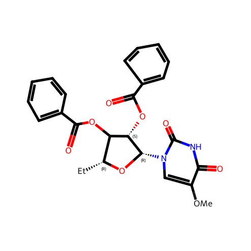 CC[C@H]1O[C@@H](n2cc(OC)c(=O)[nH]c2=O)[C@@H](OC(=O)c2ccccc2)C1OC(=O)c1ccccc1